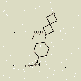 CC(=O)O.NN[C@H]1CC[C@H](N2CC3(COC3)C2)CC1